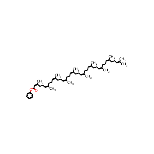 CC(C)=CCCC(C)=CCCC(C)=CCCC(C)=CCCC(C)=CCCC(C)=CCCC(C)=CCCC(C)=CCCC(C)=CCCC(C)=CC(=O)Oc1ccccc1